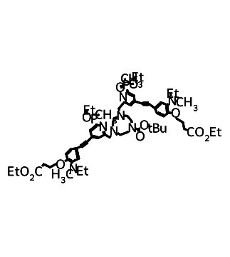 CCOC(=O)CCCOc1ccc(C#Cc2cc(CN3CCN(Cc4cc(C#Cc5ccc(OCCCC(=O)OCC)c(N(C)CC)c5)cc(P(C)(=O)OCC)n4)CCN(C(=O)OC(C)(C)C)CC3)nc(P(C)OCC)c2)cc1N(C)CC